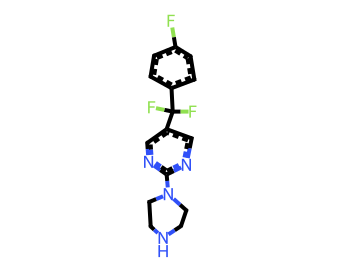 Fc1ccc(C(F)(F)c2cnc(N3CCNCC3)nc2)cc1